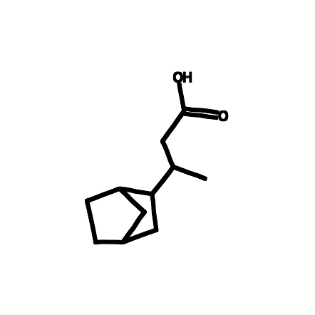 CC(CC(=O)O)C1CC2CCC1C2